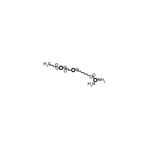 CCCCC(=O)Oc1ccc(OC(=O)C=Cc2ccc(OCCCCCCCCOC(=O)c3cc(N)cc(N)c3)cc2)cc1